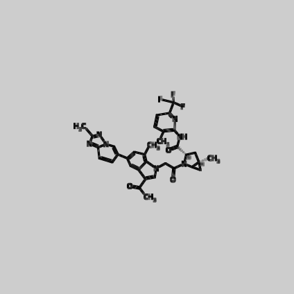 CC(=O)c1cn(CC(=O)N2C3C[C@]3(C)C[C@H]2C(=O)Nc2nc(C(F)(F)F)ccc2C)c2c(C)cc(-c3ccc4nc(C)nn4c3)cc12